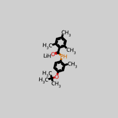 Cc1cc(C)c(C(=O)Pc2ccc(OC(C)(C)C)cc2C)c(C)c1.[LiH]